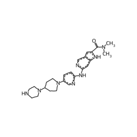 CN(C)C(=O)c1cc2cnc(Nc3ccc(N4CCC(N5CCNCC5)CC4)cn3)cc2[nH]1